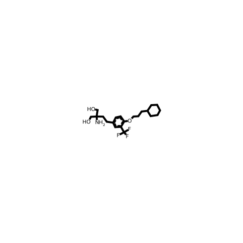 NC(CO)(CO)CCc1ccc(OCCCC2CCCCC2)c(C(F)(F)F)c1